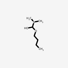 CCCCOC(O)N(C)C